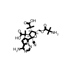 CC(C)(N)C(=O)OC[C@@H]1O[C@@](C#N)(c2ccc3c(N)ncnn23)[C@@H](C(C)(C)C(=O)O)[C@@H]1C(C)(C)C(=O)O